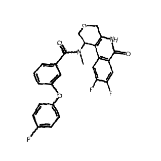 CN(C(=O)c1cccc(Oc2ccc(F)cc2)c1)C1COCc2[nH]c(=O)c3cc(F)c(F)cc3c21